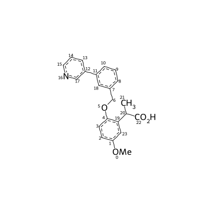 COc1ccc(OCc2cccc(-c3cccnc3)c2)c(C(C)C(=O)O)c1